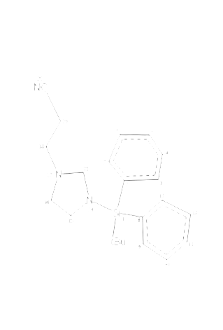 CC(C)(C)[Si](c1ccccc1)(c1ccccc1)N1CCN(CCC#N)C1